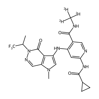 [2H]C([2H])([2H])NC(=O)c1cnc(NC(=O)C2CC2)cc1Nc1cn(C)c2cnn(C(C)C(F)(F)F)c(=O)c12